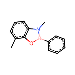 Cc1cccc2c1OB(c1ccccc1)N2C